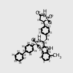 Cc1cccc2nc([C@H](Cc3ccc(C4CC(=O)NS4(=O)=O)cc3)NS(=O)(=O)c3ccc(-c4ccccc4)cc3)[nH]c12